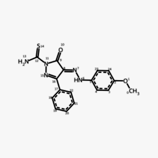 COc1ccc(N/N=C2/C(=O)N(C(N)=S)N=C2c2ccccc2)cc1